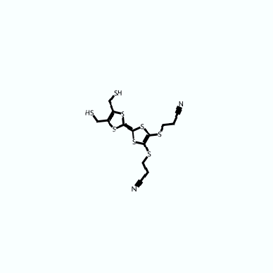 N#CCCSC1=C(SCCC#N)SC(=C2SC(CS)=C(CS)S2)S1